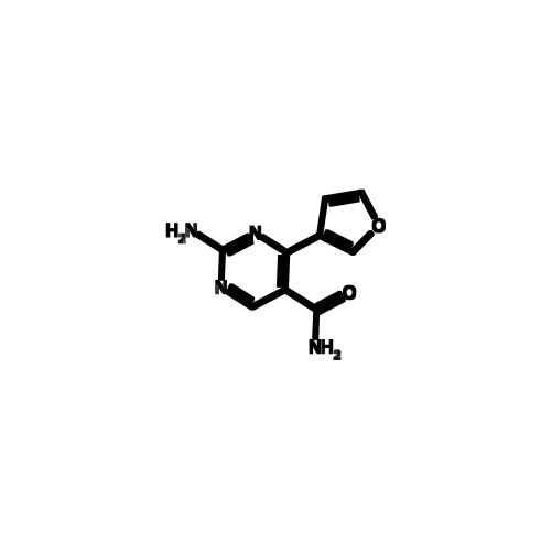 NC(=O)c1cnc(N)nc1-c1ccoc1